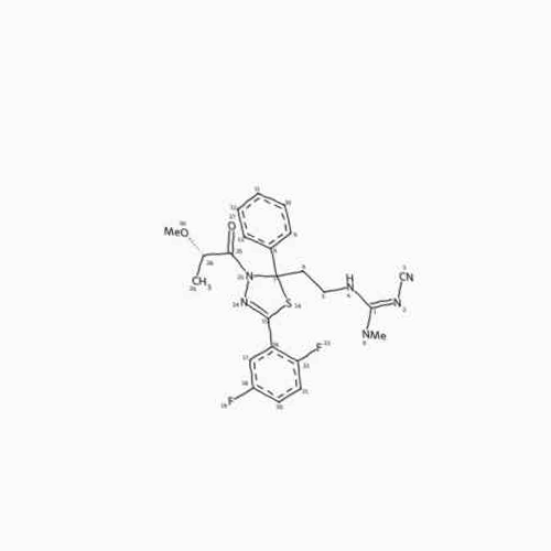 CN/C(=N/C#N)NCCC1(c2ccccc2)SC(c2cc(F)ccc2F)=NN1C(=O)[C@H](C)OC